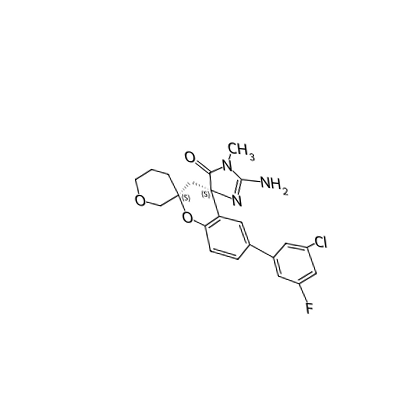 CN1C(=O)[C@@]2(C[C@]3(CCCOC3)Oc3ccc(-c4cc(F)cc(Cl)c4)cc32)N=C1N